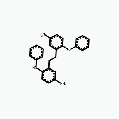 Nc1ccc(Nc2ccccc2)c(CCc2cc(N)ccc2Nc2ccccc2)c1